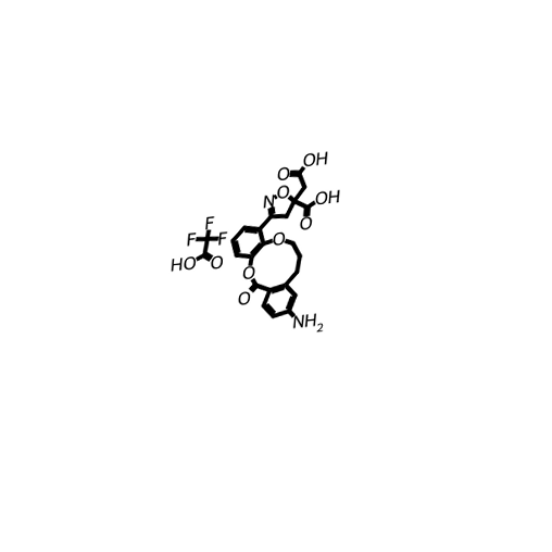 Nc1ccc2c(c1)CCCOc1c(cccc1C1=NOC(CC(=O)O)(C(=O)O)C1)OC2=O.O=C(O)C(F)(F)F